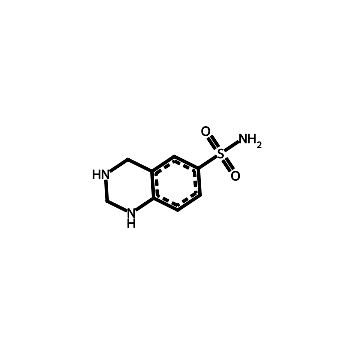 NS(=O)(=O)c1ccc2c(c1)CNCN2